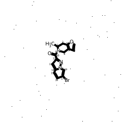 CC1Cc2occc2CN1C(=O)c1cc2ccc(Br)cn2n1